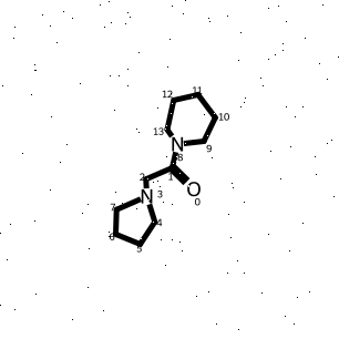 O=C(CN1CCCC1)N1CCCCC1